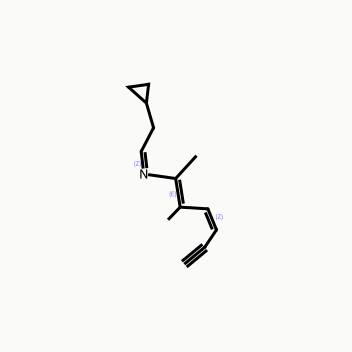 C#C\C=C/C(C)=C(C)/N=C\CC1CC1